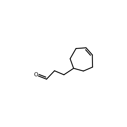 O=CCCC1CCC=CCC1